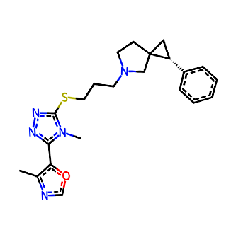 Cc1ncoc1-c1nnc(SCCCN2CCC3(C[C@@H]3c3ccccc3)C2)n1C